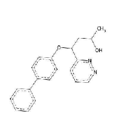 CC(O)CC(Oc1ccc(-c2ccccc2)cc1)c1cccnn1